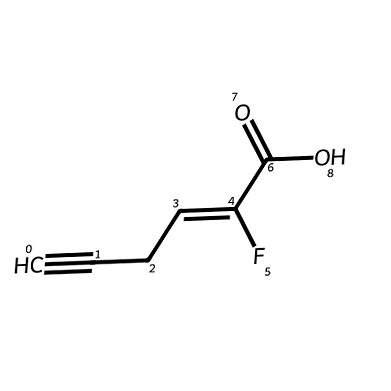 C#CCC=C(F)C(=O)O